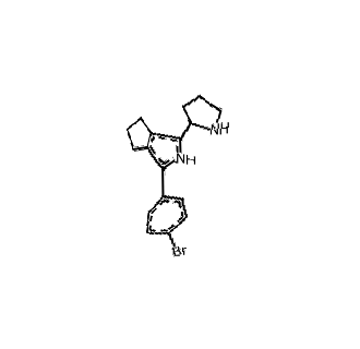 Brc1ccc(-c2[nH]c(C3CCCN3)c3c2CCC3)cc1